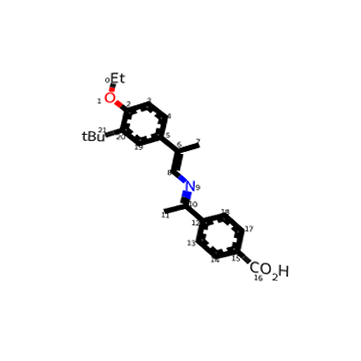 CCOc1ccc(/C(C)=C/N=C(\C)c2ccc(C(=O)O)cc2)cc1C(C)(C)C